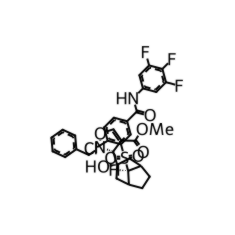 COC(=O)C1=CON(Cc2ccccc2)[C@H]1[C@]1(O)CC2CCC(C1)[C@H]2S(=O)(=O)c1cc(C(=O)Nc2cc(F)c(F)c(F)c2)ccc1Cl